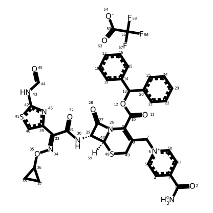 NC(=O)c1cc[n+](CC2=C(C(=O)OC(c3ccccc3)c3ccccc3)N3C(=O)[C@@H](NC(=O)C(=NOC4CC4)c4csc(NC=O)n4)[C@@H]3SC2)cc1.O=C([O-])C(F)(F)F